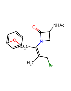 CC(=O)NC1CN(C(C(=O)O)=C(C)CBr)C1=O.c1cc2cc(c1)O2